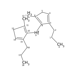 CCCC1=CCC(C)=[C]1[Hf][C]1=C(C)CC=C1CCC